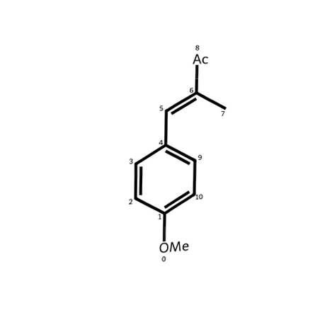 COc1ccc(C=C(C)C(C)=O)cc1